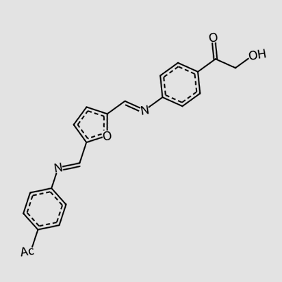 CC(=O)c1ccc(N=Cc2ccc(C=Nc3ccc(C(=O)CO)cc3)o2)cc1